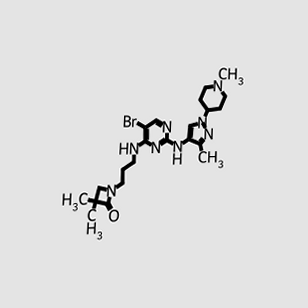 Cc1nn(C2CCN(C)CC2)cc1Nc1ncc(Br)c(NCCCN2CC(C)(C)C2=O)n1